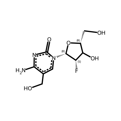 Nc1nc(=O)n([C@@H]2O[C@H](CO)C(O)[C@@H]2F)cc1CO